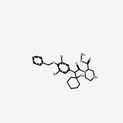 CC(C)(C)OC(=O)C1CNCCN1C(=O)C(c1cc(Br)c(OCc2ccccc2)c(Br)c1)C1(O)CCCCC1